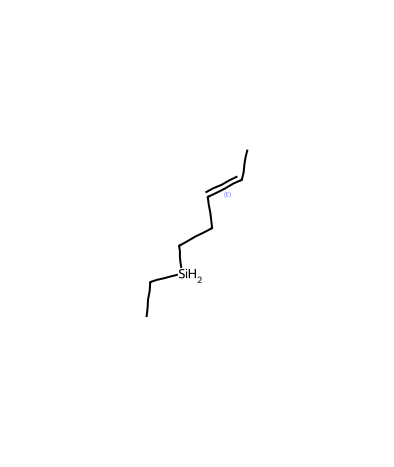 C/C=C/CC[SiH2]CC